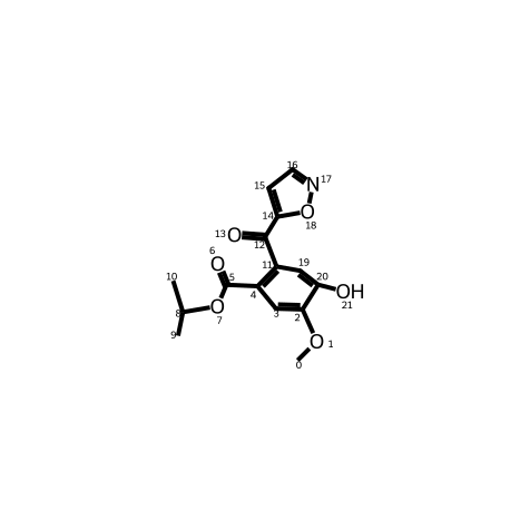 COc1cc(C(=O)OC(C)C)c(C(=O)c2ccno2)cc1O